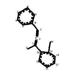 CC(=C=Cc1ccccc1)c1ccccc1C